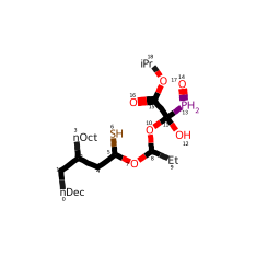 CCCCCCCCCCCC(CCCCCCCC)CC(S)OC(CC)OC(O)([PH2]=O)C(=O)OC(C)C